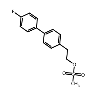 CS(=O)(=O)OCCc1ccc(-c2ccc(F)cc2)cc1